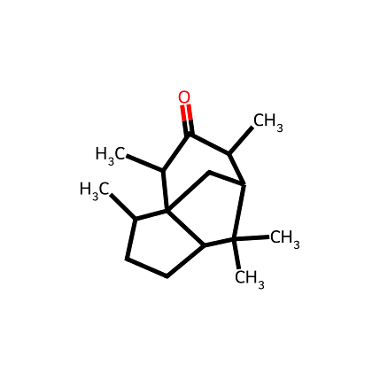 CC1C(=O)C(C)C23CC1C(C)(C)C2CCC3C